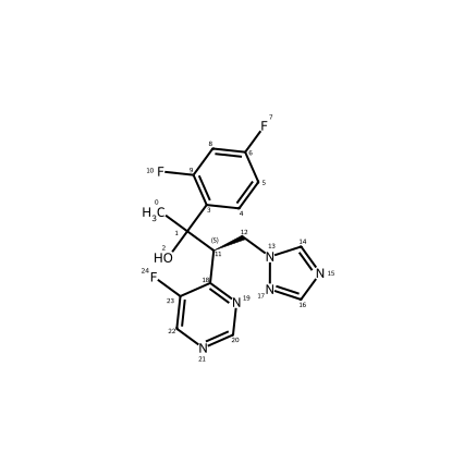 CC(O)(c1ccc(F)cc1F)[C@@H](Cn1cncn1)c1ncncc1F